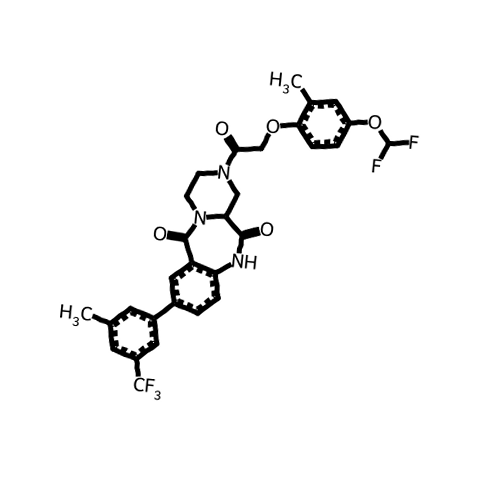 Cc1cc(-c2ccc3c(c2)C(=O)N2CCN(C(=O)COc4ccc(OC(F)F)cc4C)CC2C(=O)N3)cc(C(F)(F)F)c1